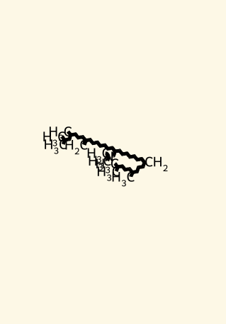 C=C(CCCCCCCC(CCCCCCCC(=C)CCCC(C)CC(C)C)CN(C)C)CCCC(C)CCCC(C)C